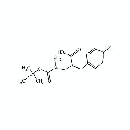 CN(CC(Cc1ccc(Cl)cc1)C(=O)O)C(=O)OC(C)(C)C